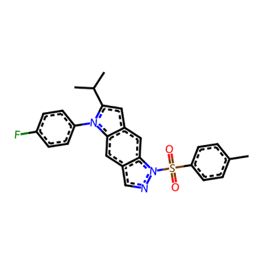 Cc1ccc(S(=O)(=O)n2ncc3cc4c(cc(C(C)C)n4-c4ccc(F)cc4)cc32)cc1